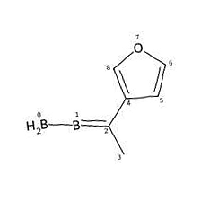 BB=C(C)c1ccoc1